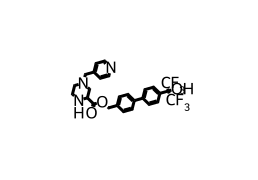 O=C(OCc1ccc(-c2ccc(C(O)(C(F)(F)F)C(F)(F)F)cc2)cc1)C1CN(Cc2ccncc2)CCN1